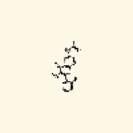 COc1c(-c2ccccc2F)oc2ccc(NC(C)=O)cc2c1=O